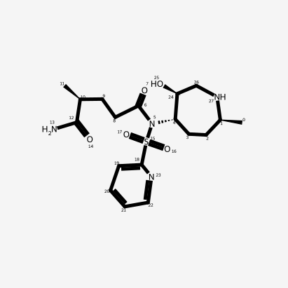 C[C@H]1CC[C@H](N(C(=O)[CH]C[C@H](C)C(N)=O)S(=O)(=O)c2ccccn2)[C@@H](O)CN1